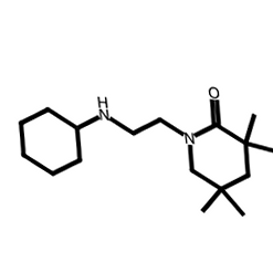 CC1(C)CN(CCNC2CCCCC2)C(=O)C(C)(C)C1